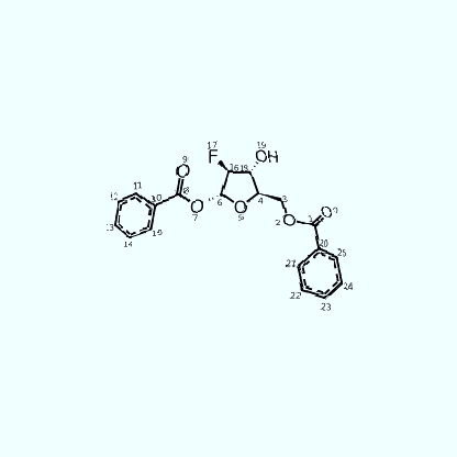 O=C(OC[C@H]1O[C@H](OC(=O)c2ccccc2)[C@@H](F)[C@@H]1O)c1ccccc1